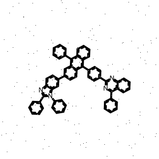 c1ccc(-c2nc(-c3ccc(-c4c5ccccc5c(-c5ccccc5)c5cc(-c6ccc7nc(-c8ccccc8)n(-c8ccccc8)c7c6)ccc45)cc3)nc3ccccc23)cc1